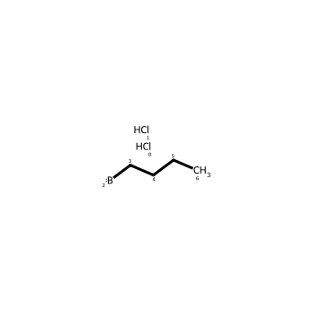 Cl.Cl.[B]CCCC